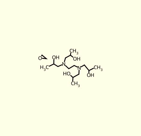 C1CO1.CC(O)CN(CCN(CC(C)O)CC(C)O)CC(C)O